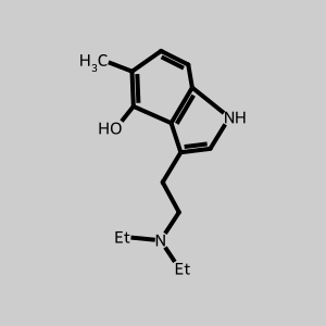 CCN(CC)CCc1c[nH]c2ccc(C)c(O)c12